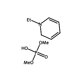 CCN1C=CC=CC1.COP(=O)(O)OC